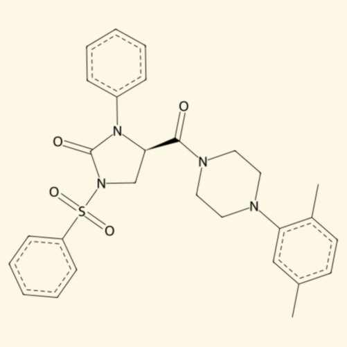 Cc1ccc(C)c(N2CCN(C(=O)[C@H]3CN(S(=O)(=O)c4ccccc4)C(=O)N3c3ccccc3)CC2)c1